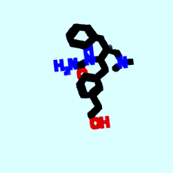 CN(C)C[C@H](Cc1ccccc1)C(Cc1cccc(CCO)c1)NC(N)=O